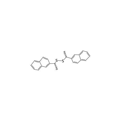 S=C(SSC(=S)c1ccc2ccccc2c1)c1ccc2ccccc2c1